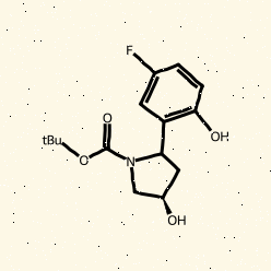 CC(C)(C)OC(=O)N1C[C@H](O)CC1c1cc(F)ccc1O